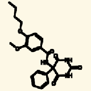 CCCCOc1ccc(C(=O)NC2(c3ccccc3)C(=O)NC(=O)NC2=O)cc1OC